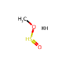 CO[SH]=O.[KH]